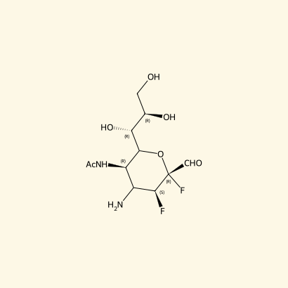 CC(=O)N[C@H]1C([C@H](O)[C@H](O)CO)O[C@@](F)(C=O)[C@@H](F)C1N